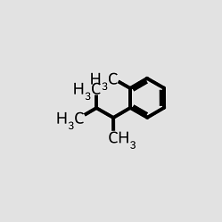 Cc1ccccc1C(C)C(C)C